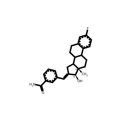 C[C@]12CCC3c4ccc(F)cc4CCC3C1C/C(=C\c1cccc(C(N)=O)c1)[C@@H]2O